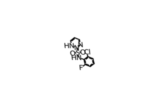 O=S(=O)(Nc1c(F)cccc1Cl)N1N=CC=CN1